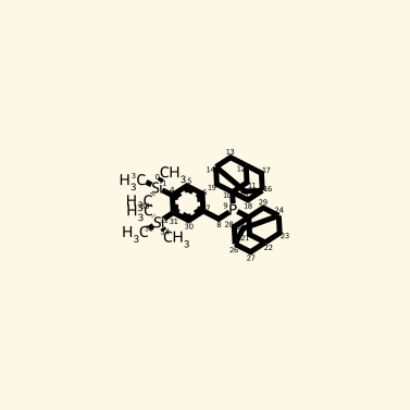 C[Si](C)(C)c1ccc(CP(C23CC4CC(CC(C4)C2)C3)C23CC4CC(CC(C4)C2)C3)cc1[Si](C)(C)C